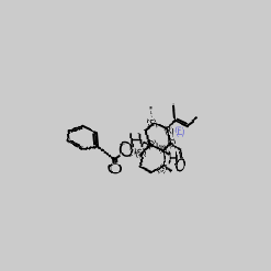 C/C=C(\C)[C@H]1[C@@H](C=O)[C@H]2[C@@H](C[C@@H]1C)[C@@H](OC(=O)c1ccccc1)CC[C@@H]2C